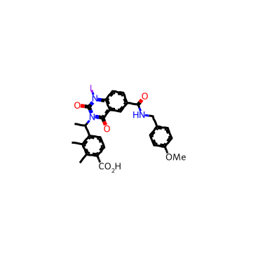 COc1ccc(CNC(=O)c2ccc3c(c2)c(=O)n(C(C)c2ccc(C(=O)O)c(C)c2C)c(=O)n3I)cc1